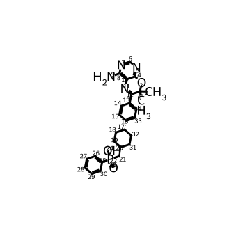 CC1(C)Oc2ncnc(N)c2N=C1c1ccc([C@H]2CC[C@H](CP(=O)(O)c3ccccc3)CC2)cc1